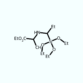 CCOC(=O)C(C)NC(CC)[Si](OCC)(OCC)OCC